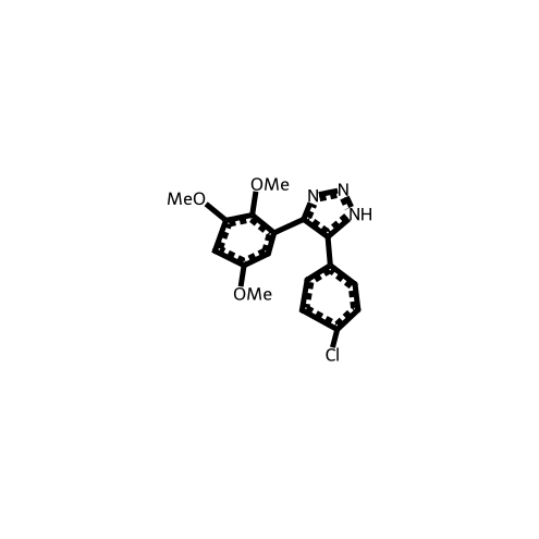 COc1cc(OC)c(OC)c(-c2nn[nH]c2-c2ccc(Cl)cc2)c1